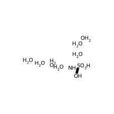 N.O.O.O.O.O.O.O.O=S(=O)(O)O